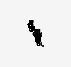 CCC1=CC(CCNC(=O)NS(=O)(=O)c2ccc(C)cc2)=C(O)C[CH]1